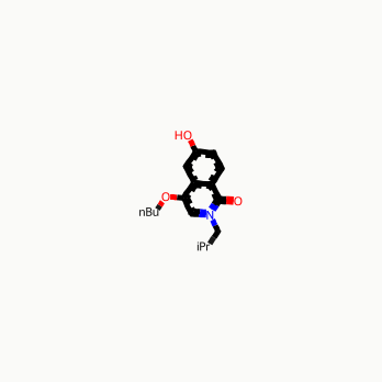 CCCCOc1[c]n(CC(C)C)c(=O)c2ccc(O)cc12